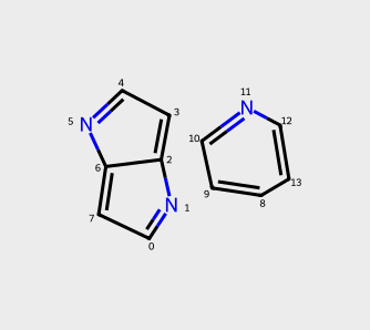 C1=NC2=CC=NC2=C1.c1ccncc1